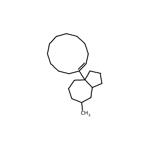 CC1CCCC2(C3=CCCCCCCCCCC3)CCCC2C1